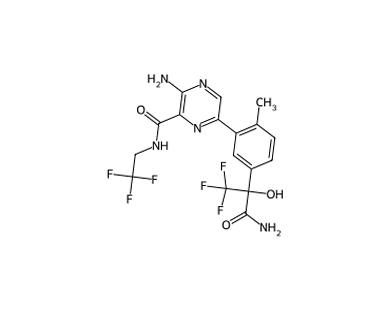 Cc1ccc(C(O)(C(N)=O)C(F)(F)F)cc1-c1cnc(N)c(C(=O)NCC(F)(F)F)n1